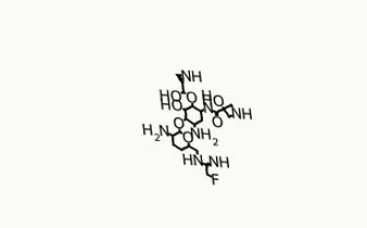 N=C(CF)NCC1CCC(N)C(OC2C(N)CC(NC(=O)C3(O)CNC3)C(OC(O)C3=CN3)C2O)O1